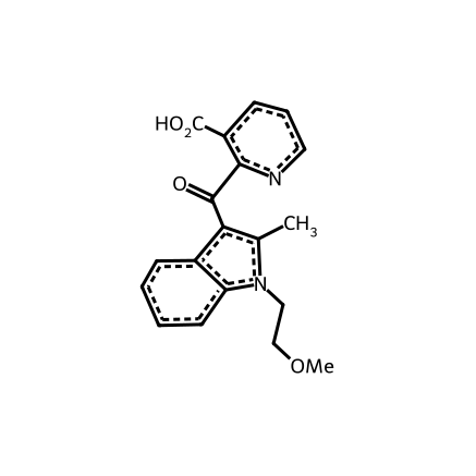 COCCn1c(C)c(C(=O)c2ncccc2C(=O)O)c2ccccc21